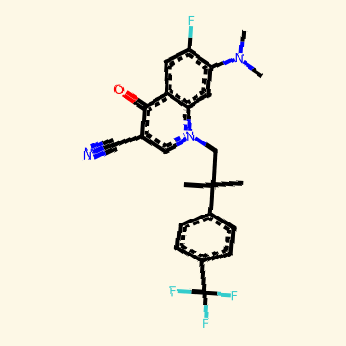 CN(C)c1cc2c(cc1F)c(=O)c(C#N)cn2CC(C)(C)c1ccc(C(F)(F)F)cc1